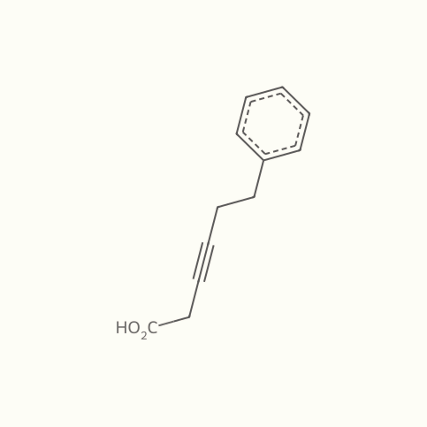 O=C(O)CC#CCCc1ccccc1